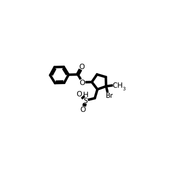 CC1(Br)CCC(OC(=O)c2ccccc2)C1C[SH](=O)=O